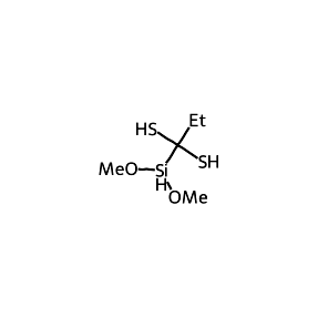 CCC(S)(S)[SiH](OC)OC